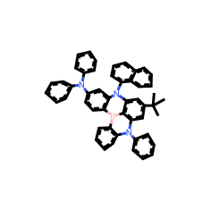 CC(C)(C)c1cc2c3c(c1)N(c1cccc4ccccc14)c1cc(N(c4ccccc4)c4ccccc4)ccc1B3c1ccccc1N2c1ccccc1